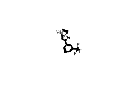 FC(F)(F)c1cccc(-c2cc3[nH]ccn3n2)c1